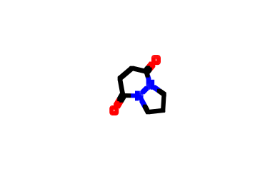 O=C1CCC(=O)N2CCCN12